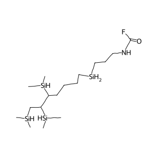 C[SiH](C)CC(C(CCCC[SiH2]CCCNC(=O)F)[SiH](C)C)[SiH](C)C